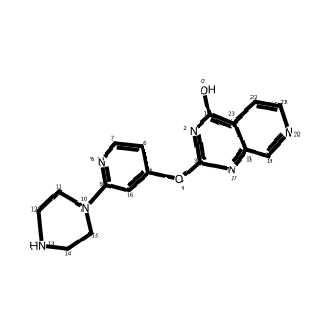 Oc1nc(Oc2ccnc(N3CCNCC3)c2)nc2cnccc12